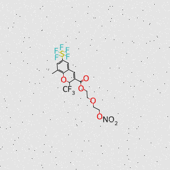 Cc1cc(S(F)(F)(F)(F)F)cc2c1OC(C(F)(F)F)C(C(=O)OCCOCCO[N+](=O)[O-])=C2